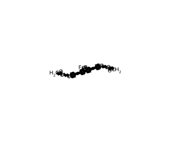 C=CC(=O)OCCCOc1ccc(C#Cc2ccc(-c3ccc(C#Cc4ccc(OCCCOC(=O)C=C)cc4)cc3C(F)(F)F)c(C(F)(F)F)c2)cc1